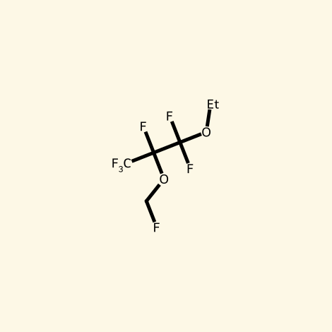 CCOC(F)(F)C(F)(OCF)C(F)(F)F